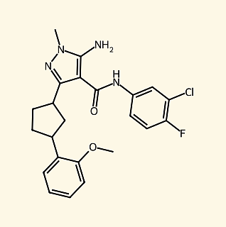 COc1ccccc1C1CCC(c2nn(C)c(N)c2C(=O)Nc2ccc(F)c(Cl)c2)C1